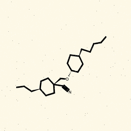 CCCCC[C@H]1CC[C@H](OC[C@]2(C#N)CC[C@H](CCC)CC2)CC1